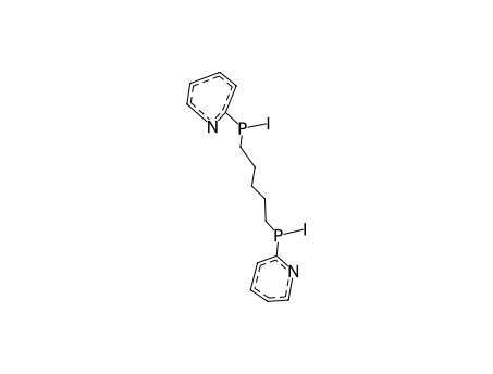 IP(CCCCCP(I)c1ccccn1)c1ccccn1